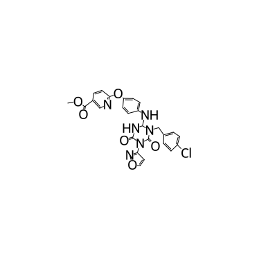 COC(=O)c1ccc(Oc2ccc(NC3NC(=O)N(c4ccon4)C(=O)N3Cc3ccc(Cl)cc3)cc2)nc1